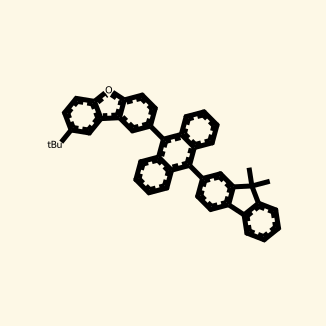 CC(C)(C)c1ccc2oc3ccc(-c4c5ccccc5c(-c5ccc6c(c5)C(C)(C)c5ccccc5-6)c5ccccc45)cc3c2c1